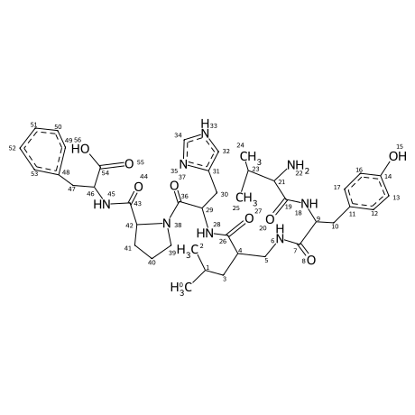 CC(C)CC(CNC(=O)C(Cc1ccc(O)cc1)NC(=O)C(N)C(C)C)C(=O)NC(Cc1c[nH]cn1)C(=O)N1CCCC1C(=O)NC(Cc1ccccc1)C(=O)O